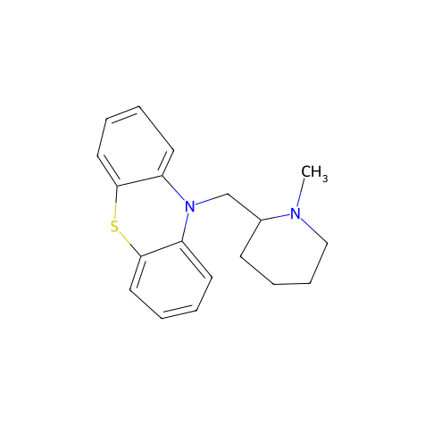 CN1CCCCC1CN1c2ccccc2Sc2ccccc21